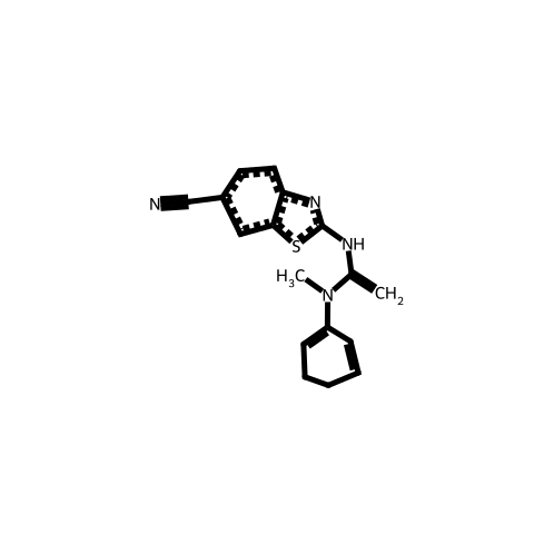 C=C(Nc1nc2ccc(C#N)cc2s1)N(C)C1=CCCC=C1